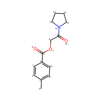 Cc1ccc(C(=O)OCC(=O)N2CCCC2)cc1